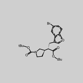 CC(C)(C)OC(=O)[C@@H](Cc1coc2ccc(Br)cc12)[C@H]1CCN(C(=O)OC(C)(C)C)C1